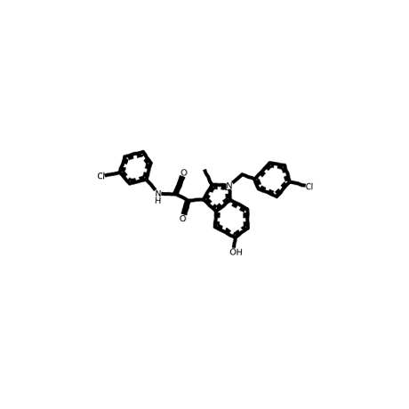 Cc1c(C(=O)C(=O)Nc2cccc(Cl)c2)c2cc(O)ccc2n1Cc1ccc(Cl)cc1